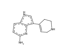 Nc1ccc2[nH]cc(C3=CCNCC3)c2n1